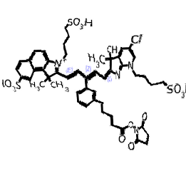 CC1(C)C2=CC(Cl)=CN(CCCCS(=O)(=O)O)C2=N/C1=C/C=C(/C=C/C1=[N+](CCCCS(=O)(=O)O)c2ccc3ccc(S(=O)(=O)O)cc3c2C1(C)C)c1cccc(CCCCC(=O)ON2C(=O)CCC2=O)c1